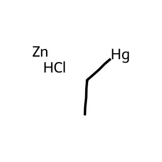 C[CH2][Hg].Cl.[Zn]